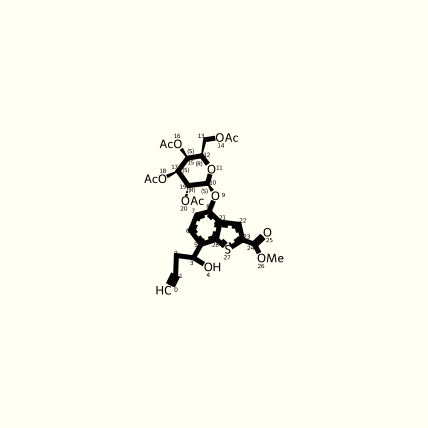 C#CCC(O)c1ccc(O[C@@H]2O[C@H](COC(C)=O)[C@H](OC(C)=O)[C@H](OC(C)=O)[C@H]2OC(C)=O)c2cc(C(=O)OC)sc12